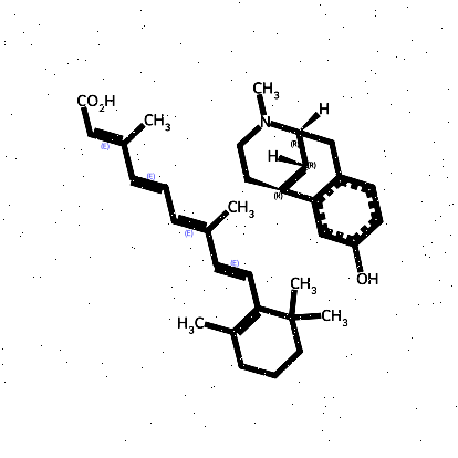 CC1=C(/C=C/C(C)=C/C=C/C(C)=C/C(=O)O)C(C)(C)CCC1.CN1CC[C@]23CCCC[C@H]2[C@H]1Cc1ccc(O)cc13